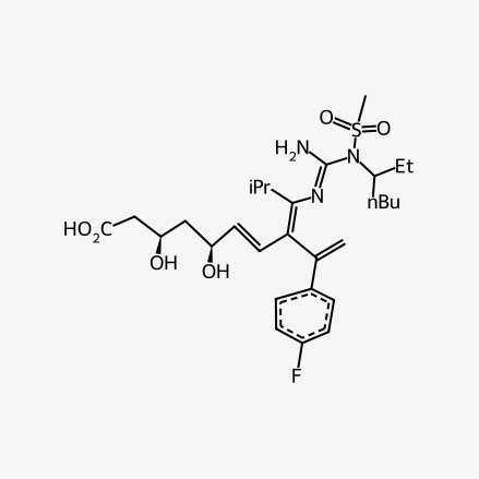 C=C(C(/C=C/[C@@H](O)C[C@@H](O)CC(=O)O)=C(\N=C(/N)N(C(CC)CCCC)S(C)(=O)=O)C(C)C)c1ccc(F)cc1